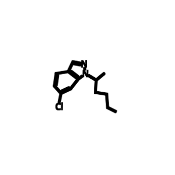 CCCCC(C)n1ncc2ccc(Cl)cc21